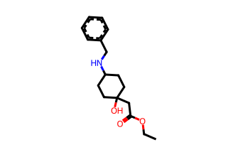 CCOC(=O)CC1(O)CCC(NCc2ccccc2)CC1